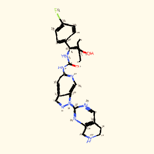 CC(C)(O)[C@@H](NC(=O)Nc1cc2cnn(-c3ncc4c(n3)CNCC4)c2cn1)c1ccc(F)cc1